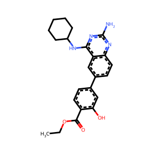 CCOC(=O)c1ccc(-c2ccc3nc(N)nc(NC4CCCCC4)c3c2)cc1O